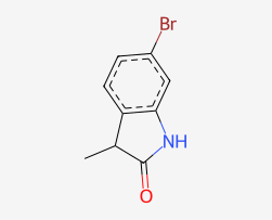 CC1C(=O)Nc2cc(Br)ccc21